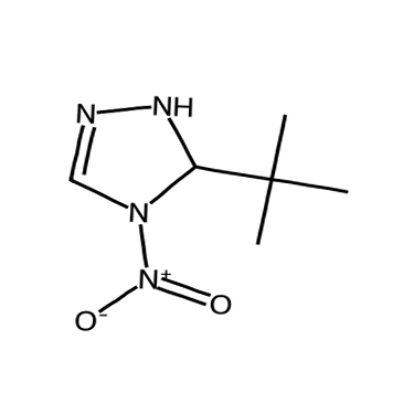 CC(C)(C)C1NN=CN1[N+](=O)[O-]